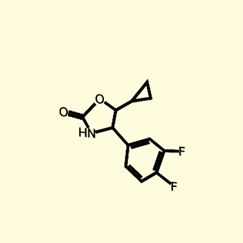 O=C1NC(c2ccc(F)c(F)c2)C(C2CC2)O1